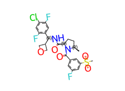 C[C@@H]1CC[C@H](C(=O)N[C@@H](c2cc(F)c(Cl)cc2F)C2COC2)N1C(=O)c1cc(F)cc(S(C)(=O)=O)c1